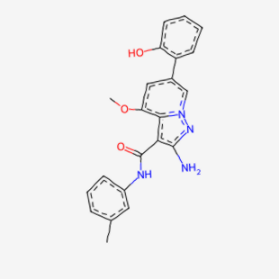 COc1cc(-c2ccccc2O)cn2nc(N)c(C(=O)Nc3cccc(C)c3)c12